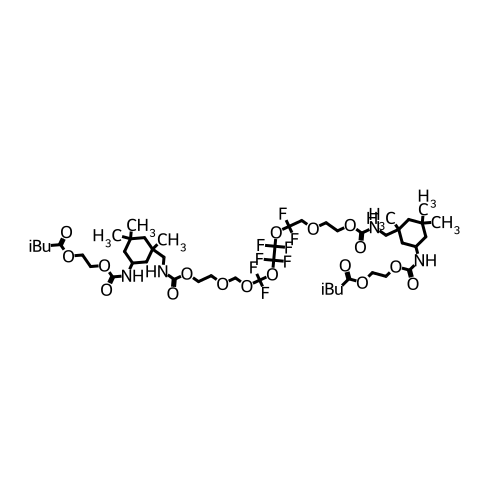 CCC(C)C(=O)OCCOC(=O)NC1CC(C)(C)CC(C)(CNC(=O)OCCOCOC(F)(F)OC(F)(F)C(F)(F)OC(F)(F)COCCOC(=O)NCC2(C)CC(NC(=O)OCCOC(=O)C(C)CC)CC(C)(C)C2)C1